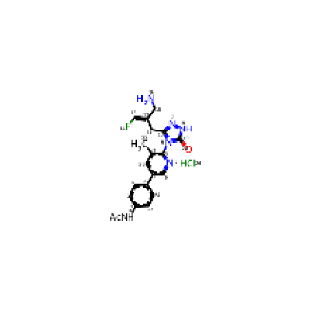 CC(=O)Nc1ccc(-c2cnc(-n3c(C/C(=C\F)CN)n[nH]c3=O)c(C)c2)cc1.Cl